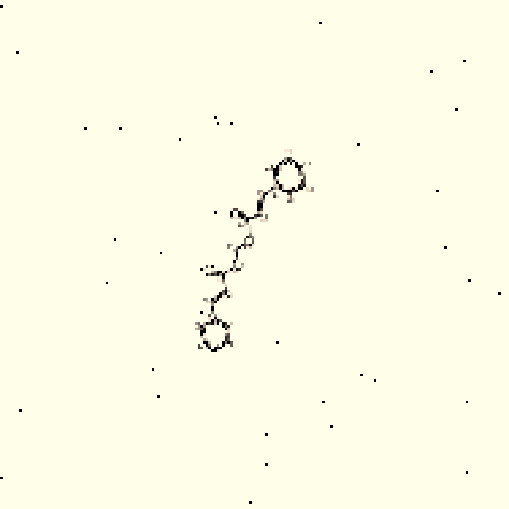 O=C(/C=C/c1ccccc1)OCOC(=O)/C=C/c1ccccc1